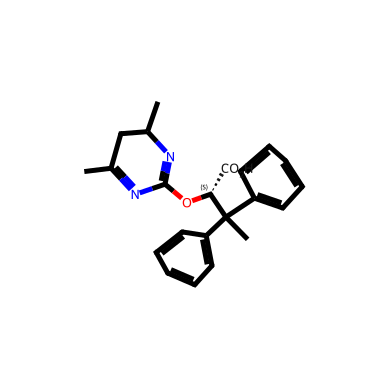 CC1=NC(O[C@H](C(=O)O)C(C)(c2ccccc2)c2ccccc2)=NC(C)C1